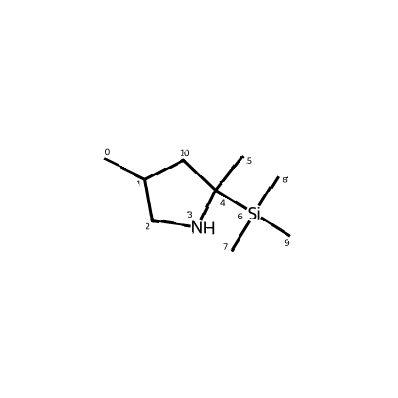 CC1CNC(C)([Si](C)(C)C)C1